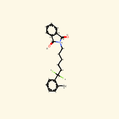 CC(=O)c1ccccc1C(F)(F)CCCCCN1C(=O)c2ccccc2C1=O